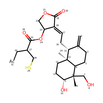 C=C1CCC2[C@](C)(CO)[C@H](O)CC[C@@]2(C)[C@@H]1C/C=C1/C(=O)OCC1OC(=O)C(CS)CC(C)=O